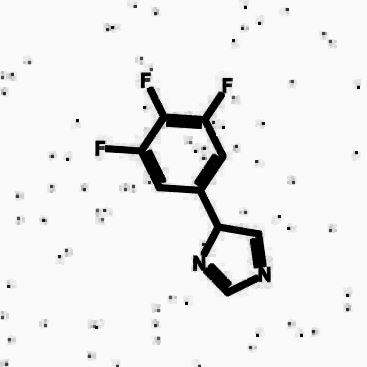 Fc1cc(C2C=NC=N2)cc(F)c1F